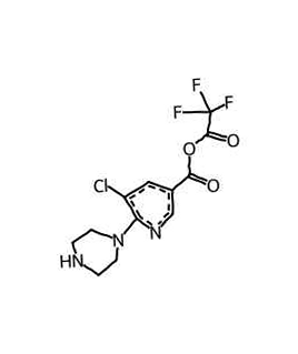 O=C(OC(=O)C(F)(F)F)c1cnc(N2CCNCC2)c(Cl)c1